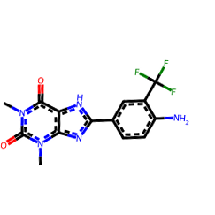 Cn1c(=O)c2[nH]c(-c3ccc(N)c(C(F)(F)F)c3)nc2n(C)c1=O